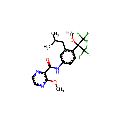 COc1nccnc1C(=O)Nc1ccc(C(OC)(C(F)(F)F)C(F)(F)F)c(CC(C)C)c1